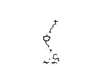 CO[C@H]1[C@H](C2(C)O[C@@H]2CC=C(C)C)[C@]2(CC[C@H]1OC(=O)NCCc1ccc(NC(=O)CCCC(=O)C(C)(C)C)cc1)CO2